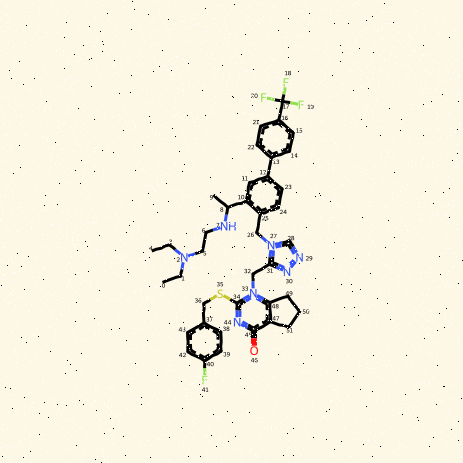 CCN(CC)CCNC(C)c1cc(-c2ccc(C(F)(F)F)cc2)ccc1Cn1cnnc1Cn1c(SCc2ccc(F)cc2)nc(=O)c2c1CCC2